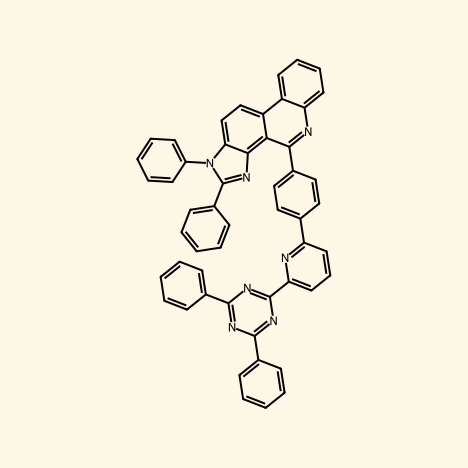 c1ccc(-c2nc(-c3ccccc3)nc(-c3cccc(-c4ccc(-c5nc6ccccc6c6ccc7c(nc(-c8ccccc8)n7-c7ccccc7)c56)cc4)n3)n2)cc1